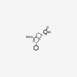 COC(=O)N1CC[C@H](c2cc(=O)[nH]o2)C[C@H]1CCc1ccccc1